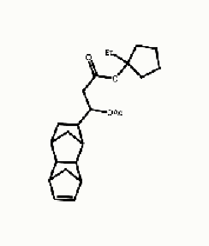 CCC1(OC(=O)CC(OC(C)=O)C2CC3CC2C2C4C=CC(C4)C32)CCCC1